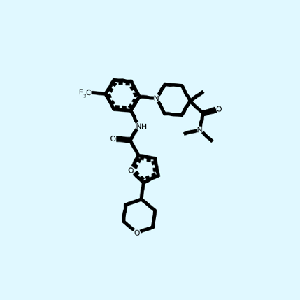 CN(C)C(=O)C1(C)CCN(c2ccc(C(F)(F)F)cc2NC(=O)c2ccc(C3CCOCC3)o2)CC1